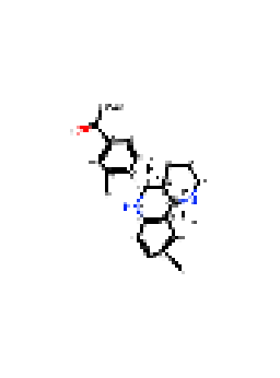 COC(=O)c1ccc([C@H]2Nc3ccc(C)cc3[C@@H]3NCCC[C@H]23)c(C)c1